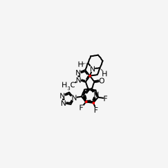 Cn1nc2c(c1-c1cc(F)c(F)c(F)c1)C[C@@H]1CCC[C@H]2N1CC(=O)c1cc(-n2cnnc2)ccn1